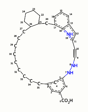 O=C(O)c1cc2cc(c1)NNC#Cc1cc3cccc(c3[nH]1)CC1CCCCC1CCCCCCCCC2